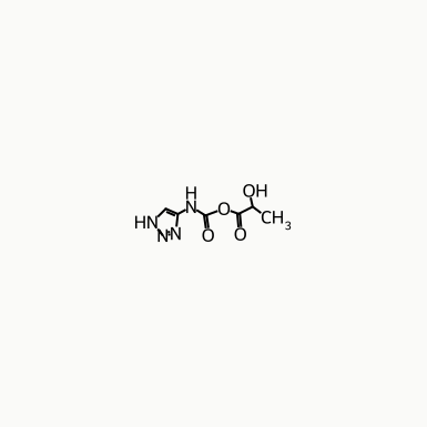 CC(O)C(=O)OC(=O)Nc1c[nH]nn1